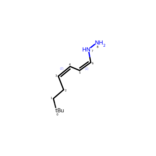 CC(C)(C)CC/C=C\C=C/NN